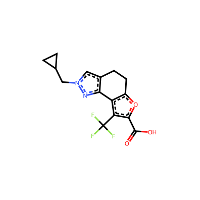 O=C(O)c1oc2c(c1C(F)(F)F)-c1nn(CC3CC3)cc1CC2